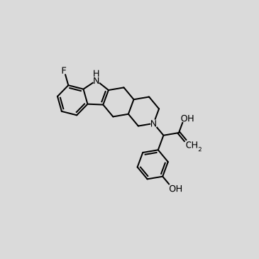 C=C(O)C(c1cccc(O)c1)N1CCC2Cc3[nH]c4c(F)cccc4c3CC2C1